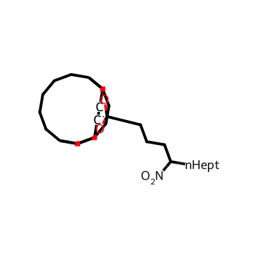 [CH2]CCCCCCC(CCC[C]1OC2CCC(O1)C1CCCCCC(CCCCC1)C2)[N+](=O)[O-]